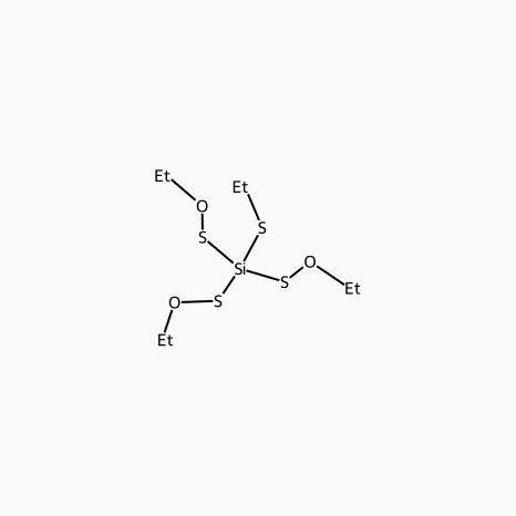 CCOS[Si](SCC)(SOCC)SOCC